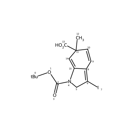 CC(C)(C)OC(=O)N1CC(I)=C2C=CC(C)(C(=O)O)C=C21